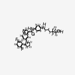 CC(C)(CCCNc1ccc(NC(=O)c2cnn3ccc(N4CCC[C@@H]4c4cc(F)ccc4F)cc23)cc1)[Si](C)(C)O